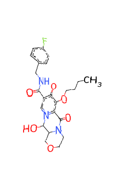 CCCCOc1c2n(cc(C(=O)NCc3ccc(F)cc3)c1=O)C(O)C1COCCN1C2=O